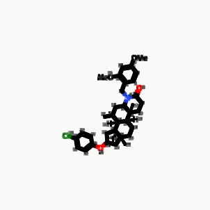 COc1ccc(CN2C(=O)CC[C@@]3(C)C2CC(C)[C@@H]2[C@H]3CC[C@]3(C)CC(Oc4ccc(Cl)cc4)C[C@@H]23)c(OC)c1